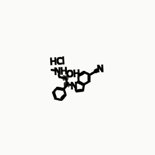 CNC[C@H](O)[C@H](c1ccccc1)n1ccc2cc(C#N)ccc21.Cl